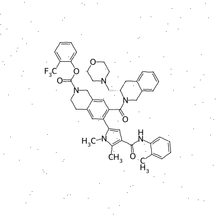 Cc1ccccc1NC(=O)c1cc(-c2cc3c(cc2C(=O)N2Cc4ccccc4C[C@H]2CN2CCOCC2)CN(C(=O)Oc2ccccc2C(F)(F)F)CC3)n(C)c1C